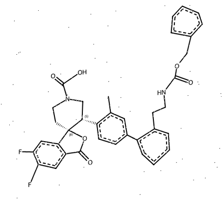 Cc1cc(-c2ccccc2CCNC(=O)OCc2ccccc2)ccc1[C@H]1CN(C(=O)O)CC[C@@]12OC(=O)c1cc(F)c(F)cc12